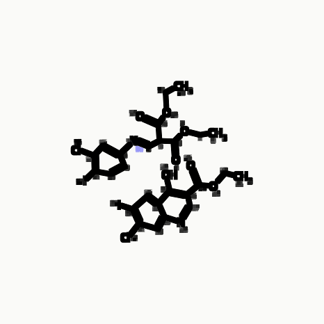 CCOC(=O)C(/C=N/c1ccc(I)c(Cl)c1)C(=O)OCC.CCOC(=O)c1cnc2cc(Cl)c(I)cc2c1O